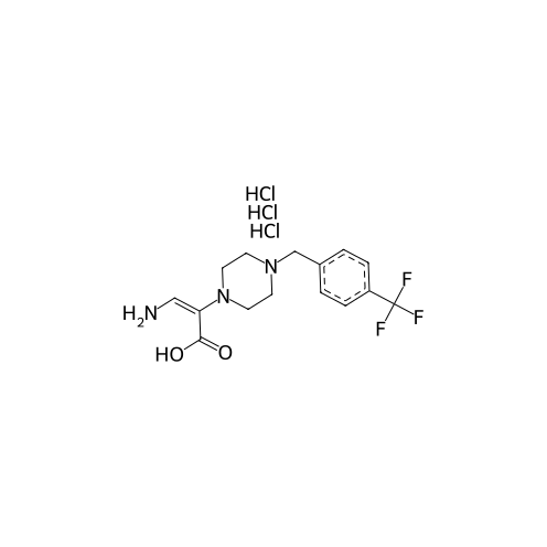 Cl.Cl.Cl.NC=C(C(=O)O)N1CCN(Cc2ccc(C(F)(F)F)cc2)CC1